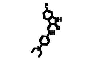 CCN(CC)c1ccc(NC=C2C(=O)Nc3cc(F)ccc32)cc1